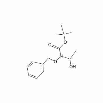 CC(O)N(OCc1ccccc1)C(=O)OC(C)(C)C